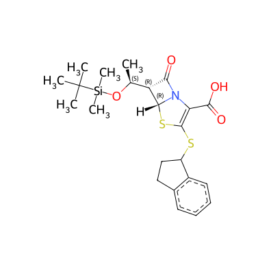 C[C@H](O[Si](C)(C)C(C)(C)C)[C@@H]1C(=O)N2C(C(=O)O)=C(SC3CCc4ccccc43)S[C@H]12